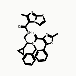 Cc1nc(C(=O)N(Cc2ccccc2)[C@H](CNC(=O)c2c(C)nc3sccn23)C2CC2)c(-c2ccccc2)s1